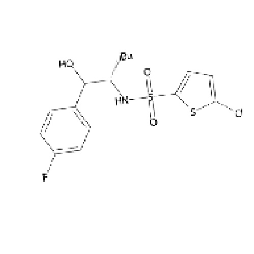 CCC(C)[C@H](NS(=O)(=O)c1ccc(Cl)s1)C(O)c1ccc(F)cc1